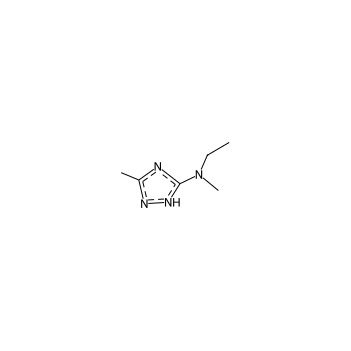 CCN(C)c1nc(C)n[nH]1